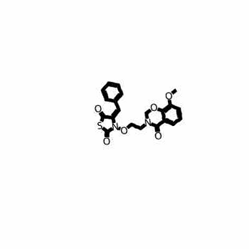 COc1cccc2c1OCN(CCON1C(=O)SC(=O)C1=Cc1ccccc1)C2=O